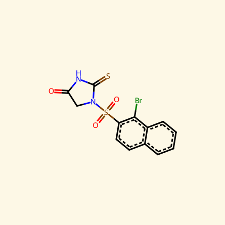 O=C1CN(S(=O)(=O)c2ccc3ccccc3c2Br)C(=S)N1